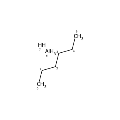 CCCCCC.[AlH3].[HH]